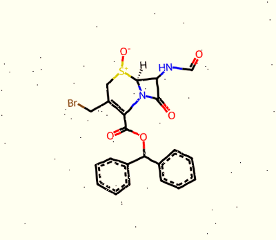 O=CNC1C(=O)N2C(C(=O)OC(c3ccccc3)c3ccccc3)=C(CBr)C[S+]([O-])[C@@H]12